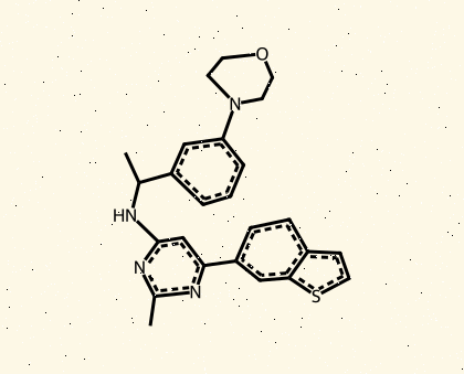 Cc1nc(NC(C)c2cccc(N3CCOCC3)c2)cc(-c2ccc3ccsc3c2)n1